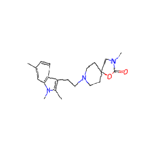 Cc1ccc2c(CCN3CCC4(CC3)CN(C)C(=O)O4)c(C)n(C)c2c1